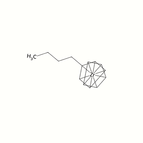 CCCC[C]12[CH]3[CH]4[CH]5[CH]1[Zr]45321678[CH]2[CH]1[CH]6[CH]7[CH]28